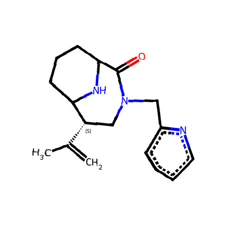 C=C(C)[C@H]1CN(Cc2ccccn2)C(=O)C2CCCC1N2